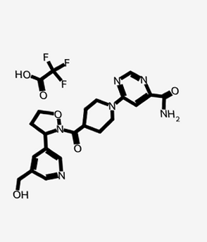 NC(=O)c1cc(N2CCC(C(=O)N3OCCC3c3cncc(CO)c3)CC2)ncn1.O=C(O)C(F)(F)F